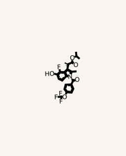 Cc1c([C@@H](C)C(=O)OC(C)C)c2c(F)c(O)ccc2n1C(=O)c1ccc(OC(F)(F)F)cc1